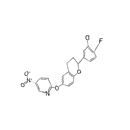 O=[N+]([O-])c1ccc(Oc2ccc3c(c2)CCC(c2ccc(F)c(Cl)c2)O3)nc1